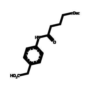 CCCCCCCCCCCCCC(=O)Nc1ccc(CC(=O)O)cc1